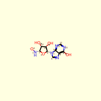 [O]N[C@H]1O[C@@H](n2cnc3c(O)ncnc32)[C@H](O)[C@@H]1O